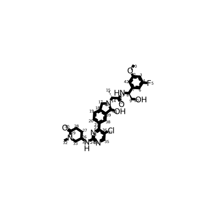 COc1cc(F)cc([C@@H](CO)NC(=O)[C@@H](C)N2Cc3ccc(-c4nc(NC5CCC(=O)N(C)C5)ncc4Cl)cc3C2O)c1